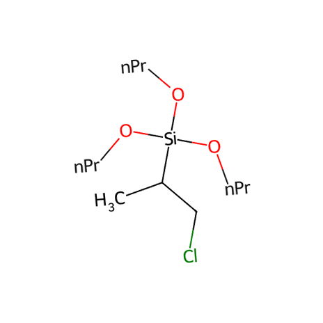 CCCO[Si](OCCC)(OCCC)C(C)CCl